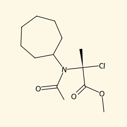 COC(=O)[C@@](C)(Cl)N(C(C)=O)C1CCCCCC1